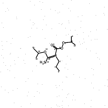 CCCC(C(=O)OOC(C)C)=C([SiH3])OC(C)C